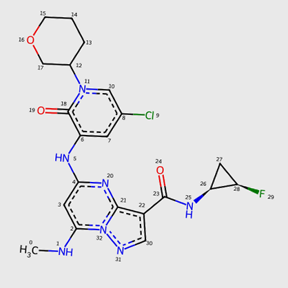 CNc1cc(Nc2cc(Cl)cn(C3CCCOC3)c2=O)nc2c(C(=O)N[C@H]3C[C@H]3F)cnn12